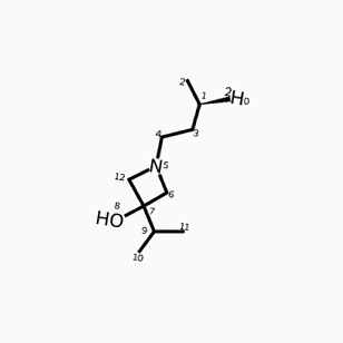 [2H][C@H](C)CCN1CC(O)(C(C)C)C1